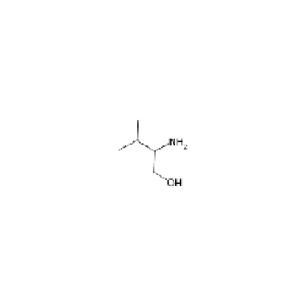 [CH2]C(C)C(N)CO